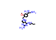 CCCCNc1nc(N)nc2cn(Cc3ccc([C@@H](N)CN)cc3OC)nc12